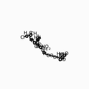 CC1(C)CCC(CN2CCN(c3ccc(C(=O)NS(=O)(=O)c4ccc(NCC5CCN(CCOCCOCCOCCNc6cccc7c6C(=O)N(C6CCC(=O)NC6=O)C7=O)CC5)c([N+](=O)[O-])c4)c(Oc4cnc5[nH]ccc5c4)c3)CC2)=C(c2ccc(Cl)cc2)C1